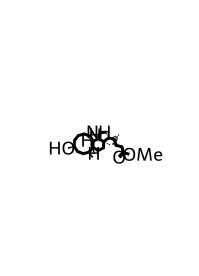 COC(=O)CC[C@@H](C)[C@H]1CC[C@H]2[C@H]3[C@H](CC[C@]12C)[C@@H](C)CC[C@@H](O)CCC[C@H]3N